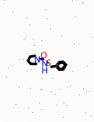 O=C(NSCc1ccccc1)N1CCCCC1